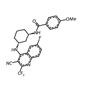 COc1ccc(C(=O)N[C@@H]2CCC[C@H](Nc3c(C#N)c(C(F)(F)F)nc4ccc(F)cc34)C2)cc1